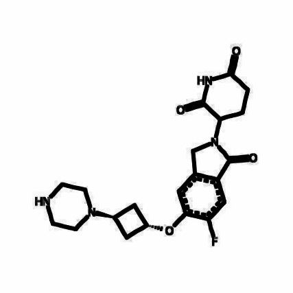 O=C1CCC(N2Cc3cc(O[C@H]4C[C@H](N5CCNCC5)C4)c(F)cc3C2=O)C(=O)N1